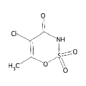 CC1=C(Cl)C(=O)NS(=O)(=O)O1